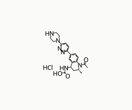 CC(=O)N1c2ccc(-c3ccc(N4CCNCC4)nn3)cc2[C@H](NC(=O)O)C[C@@H]1C.Cl